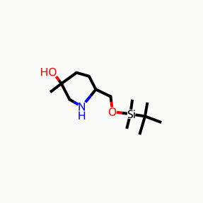 CC1(O)CCC(CO[Si](C)(C)C(C)(C)C)NC1